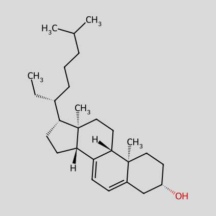 CC[C@H](CCCC(C)C)[C@H]1CC[C@H]2C3=CC=C4C[C@@H](O)CC[C@]4(C)[C@H]3CC[C@]12C